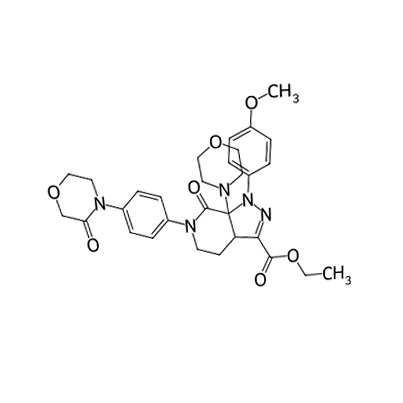 CCOC(=O)C1=NN(c2ccc(OC)cc2)C2(N3CCOCC3)C(=O)N(c3ccc(N4CCOCC4=O)cc3)CCC12